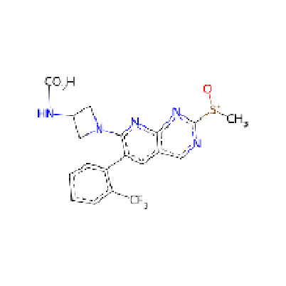 C[S+]([O-])c1ncc2cc(-c3ccccc3C(F)(F)F)c(N3CC(NC(=O)O)C3)nc2n1